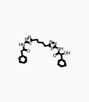 O=C(Cc1ccccc1)Nc1nnc(CCCCc2nnc(NC(=O)C(O)c3ccccc3)s2)s1